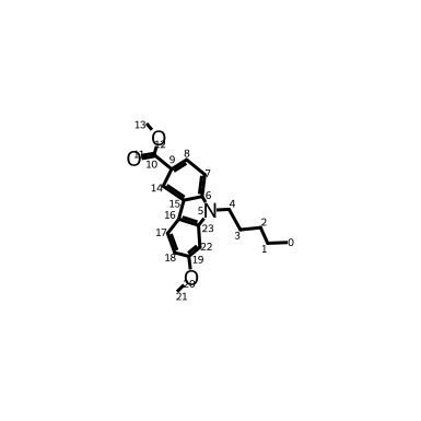 CCCCCn1c2ccc(C(=O)OC)cc2c2ccc(OC)cc21